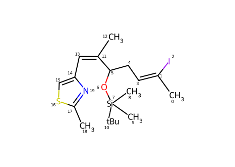 CC(I)=CCC(O[Si](C)(C)C(C)(C)C)C(C)=Cc1csc(C)n1